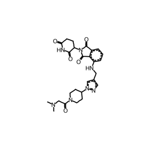 CN(C)CC(=O)N1CCC(n2cc(CNc3cccc4c3C(=O)N(C3CCC(=O)NC3=O)C4=O)cn2)CC1